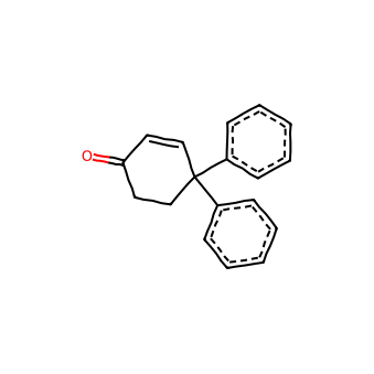 O=C1C=CC(c2ccccc2)(c2ccccc2)CC1